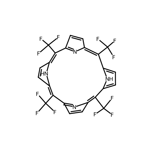 FC(F)(F)c1c2nc(c(C(F)(F)F)c3ccc([nH]3)c(C(F)(F)F)c3nc(c(C(F)(F)F)c4ccc1[nH]4)C=C3)C=C2